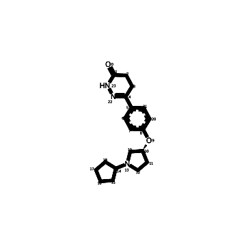 O=C1CCC(c2ccc(O[C@@H]3CCN(C4CCCC4)C3)cc2)=NN1